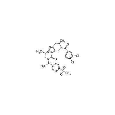 CC(c1ccc(S(C)(=O)=O)cc1)N1C[C@@H](C)n2nc3c(c2C1=O)CN(C(=O)c1ccc(Cl)c(Cl)c1)[C@H](C)C3